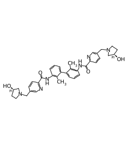 Cc1c(NC(=O)c2ccc(CN3CC[C@@H](O)C3)cn2)cccc1-c1cccc(NC(=O)c2ccc(CN3CC[C@@H](O)C3)cn2)c1C